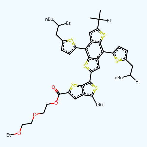 CCCCC(CC)Cc1ccc(-c2c3cc(C(C)(C)CC)sc3c(-c3ccc(CC(CC)CCCC)s3)c3cc(-c4sc(C(C)(C)C)c5cc(C(=O)OCCOCCOCC)sc45)sc23)s1